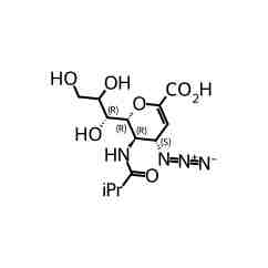 CC(C)C(=O)N[C@H]1[C@H]([C@H](O)C(O)CO)OC(C(=O)O)=C[C@@H]1N=[N+]=[N-]